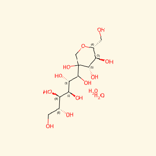 O.O.OC[C@@H](O)[C@@H](O)[C@H](O)[C@H](O)C(O)C1(O)CO[C@H](CO)[C@@H](O)[C@@H]1O